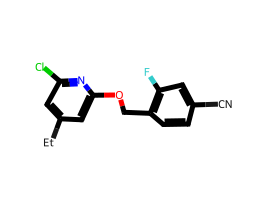 CCc1cc(Cl)nc(OCc2ccc(C#N)cc2F)c1